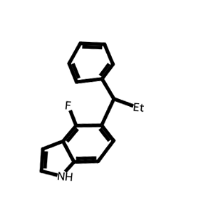 [CH2]CC(c1ccccc1)c1ccc2[nH]ccc2c1F